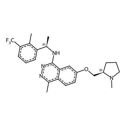 Cc1c([C@@H](C)Nc2nnc(C)c3ccc(OC[C@H]4CCCN4C)cc23)cccc1C(F)(F)F